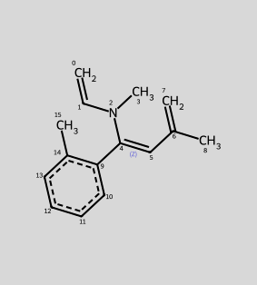 C=CN(C)/C(=C\C(=C)C)c1ccccc1C